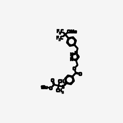 COC(c1ccc(Cn2cc(COC(=O)c3ccc(SC(C)(C)C(=O)OC(C)(C)C)cc3)nn2)cc1)(C(F)(F)F)C(F)(F)F